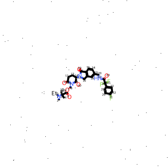 CCN(C)C(C)(C(=O)OCN1C(=O)CCC(N2Cc3cc(CNC(=O)C(F)(F)c4ccc(F)cc4)ccc3C2=O)C1=O)C(C)C